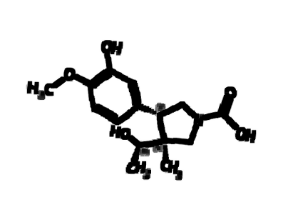 COc1ccc([C@@H]2CN(C(=O)O)C[C@@]2(C)[C@@H](C)O)cc1O